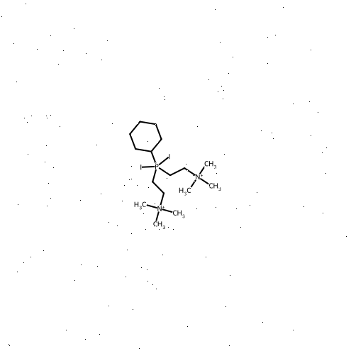 C[N+](C)(C)CCP(I)(I)(CC[N+](C)(C)C)C1CCCCC1